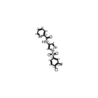 O=C(Nc1cnn(S(=O)(=O)c2ccc(Cl)c(F)c2)c1)c1ccccn1